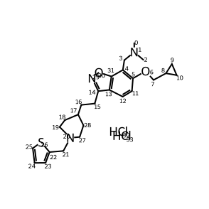 CN(C)Cc1c(OCC2CC2)ccc2c(CCC3CCN(Cc4cccs4)CC3)noc12.Cl.Cl